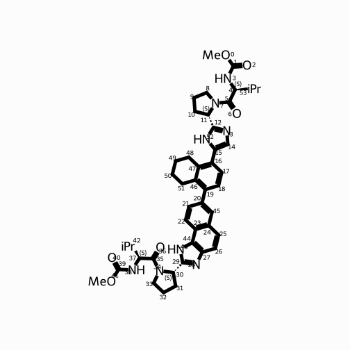 COC(=O)N[C@H](C(=O)N1CCC[C@H]1c1ncc(-c2ccc(-c3ccc4c(ccc5nc([C@@H]6CCCN6C(=O)[C@@H](NC(=O)OC)C(C)C)[nH]c54)c3)c3c2CCCC3)[nH]1)C(C)C